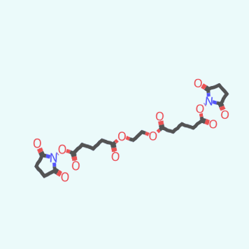 O=C(CCCC(=O)ON1C(=O)CCC1=O)OCCOC(=O)CCCC(=O)ON1C(=O)CCC1=O